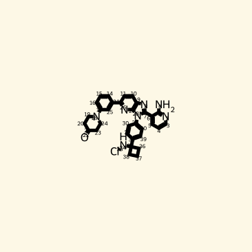 Nc1ncccc1-c1nc2ccc(-c3cccc(N4CCC(=O)CC4)c3)nc2n1-c1ccc(C2(NCl)CCC2)cc1